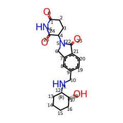 O=C1CCC(N2Cc3cc(CN[C@@H]4CCCC[C@H]4O)ccc3C2=O)C(=O)N1